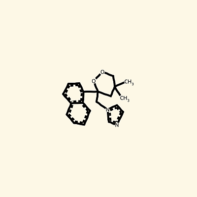 CC1(C)COOC(Cn2ccnc2)(c2cccc3ccccc23)C1